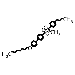 CCCCCCCCOc1ccc(-c2ccc(C(=O)OC(C)C(=O)c3ccc(CCCC)cc3)cc2)cc1